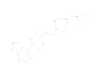 CCC(=O)NC1CCC(CCN2CCN(c3nccc4ccoc34)CC2)CC1